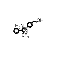 Nc1c(-c2ccccc2)c(C(F)(F)F)nn1-c1ccc(CCO)cc1